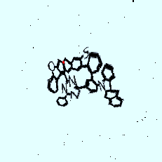 c1ccc(-c2nc(-c3ccc(-n4c5ccccc5c5cc6ccccc6cc54)c(-c4cccc5sc6cc7ccccc7cc6c45)c3)nc(-c3cccc4oc5ccccc5c34)n2)cc1